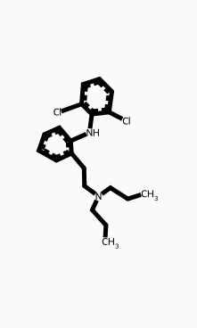 CCCN(CCC)CCc1ccccc1Nc1c(Cl)cccc1Cl